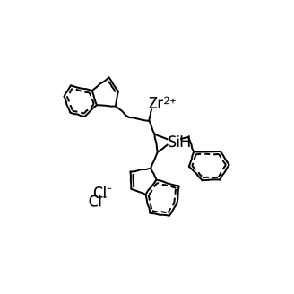 [Cl-].[Cl-].[Zr+2][CH](CC1C=Cc2ccccc21)C1C(C2C=Cc3ccccc32)[SiH]1Cc1ccccc1